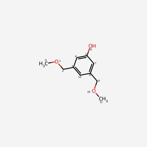 COCc1cc(O)cc(COC)c1